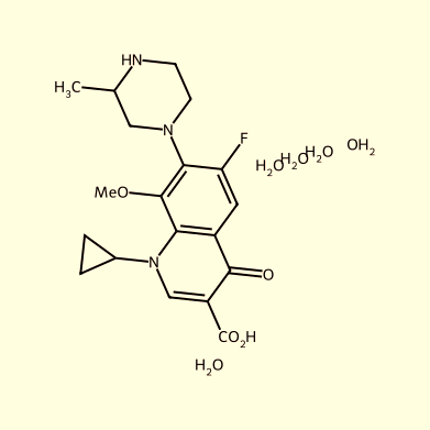 COc1c(N2CCNC(C)C2)c(F)cc2c(=O)c(C(=O)O)cn(C3CC3)c12.O.O.O.O.O